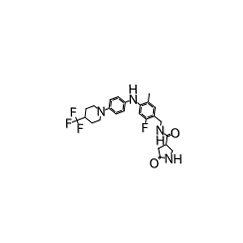 Cc1cc(CNC(=O)C2CNC(=O)C2)c(F)cc1Nc1ccc(N2CCC(C(F)(F)F)CC2)cc1